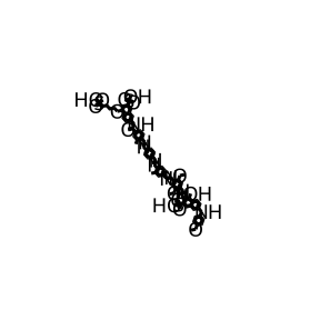 COc1ccc(Nc2ccc3c(O)c(N=Nc4cc(OC)c(N=Nc5ccc(N=Nc6ccc(N=Nc7ccc(C(=O)Nc8ccc9c(OCCCCS(=O)(=O)O)cc(S(=O)(=O)O)cc9c8)cc7C)cc6)c(C)c5)cc4OC)c(S(=O)(=O)O)cc3c2)cc1